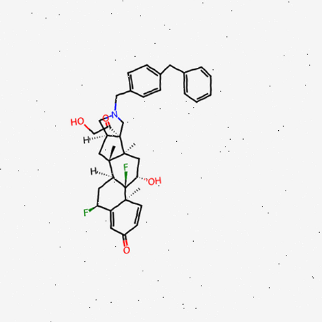 C[C@]12C[C@H](O)[C@@]3(F)[C@@H](C[C@H](F)C4=CC(=O)C=C[C@@]43C)[C@]1(C)C[C@H]1CN(Cc3ccc(Cc4ccccc4)cc3)C[C@]12C(=O)CO